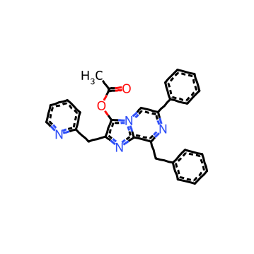 CC(=O)Oc1c(Cc2ccccn2)nc2c(Cc3ccccc3)nc(-c3ccccc3)cn12